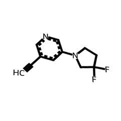 C#Cc1cncc(N2CCC(F)(F)C2)c1